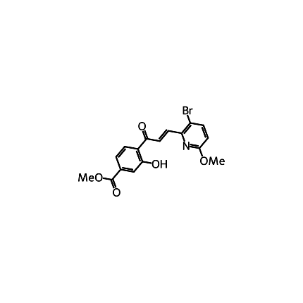 COC(=O)c1ccc(C(=O)C=Cc2nc(OC)ccc2Br)c(O)c1